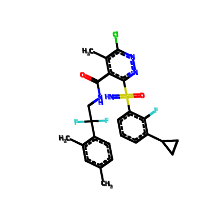 Cc1ccc(C(F)(F)CNC(=O)c2c(S(=N)(=O)c3cccc(C4CC4)c3F)nnc(Cl)c2C)c(C)c1